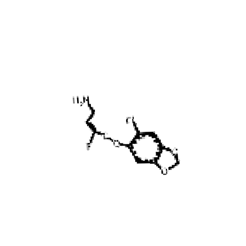 NC/C=C(/F)COc1cc2c(cc1Cl)OCO2